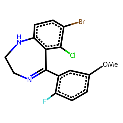 COc1ccc(F)c(C2=NCCNc3ccc(Br)c(Cl)c32)c1